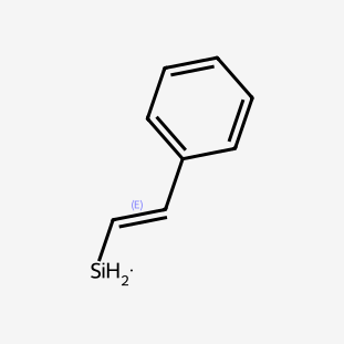 [SiH2]/C=C/c1ccccc1